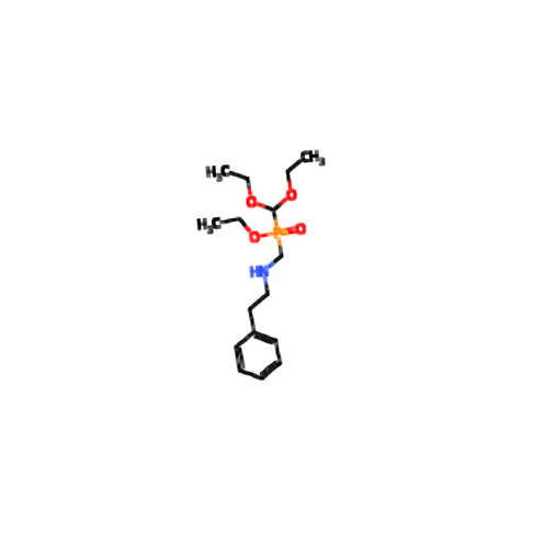 CCOC(OCC)P(=O)(CNCCc1ccccc1)OCC